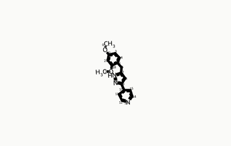 COc1ccc(Cc2cc(-c3ccncc3)n[nH]2)c(OC)c1